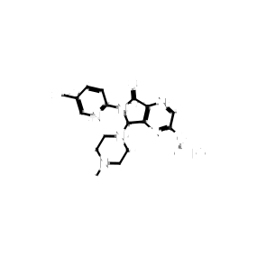 CN1CCN(C2c3nc(OC=O)cnc3C(=O)N2c2ccc(Cl)cn2)CC1